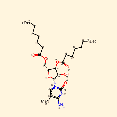 CCCCCCCCCCCCCCCC(=O)OC[C@H]1O[C@@H](n2cc(NC)c(N)nc2=O)[C@@H](O)[C@@H]1OC(=O)CCCCCCCCCCCCCCC